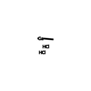 Cl.Cl.[CH3][Ga]